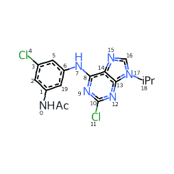 CC(=O)Nc1cc(Cl)cc(Nc2nc(Cl)nc3c2ncn3C(C)C)c1